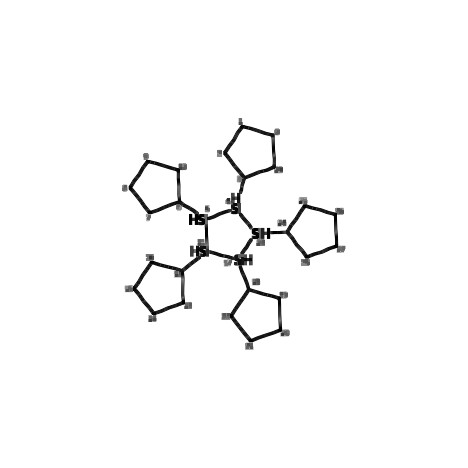 C1CCC([SiH]2[SiH](C3CCCC3)[SiH](C3CCCC3)[SiH](C3CCCC3)[SiH]2C2CCCC2)C1